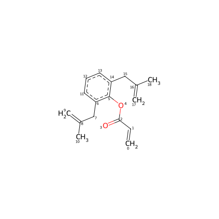 C=CC(=O)Oc1c(CC(=C)C)cccc1CC(=C)C